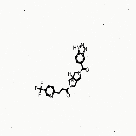 O=C(c1ccc2[nH]nnc2c1)N1C=C2CN(C(=O)CCc3ccc(C(F)(F)F)cn3)C[C@@H]2C1